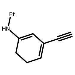 C#CC1=CCCC(NCC)=C1